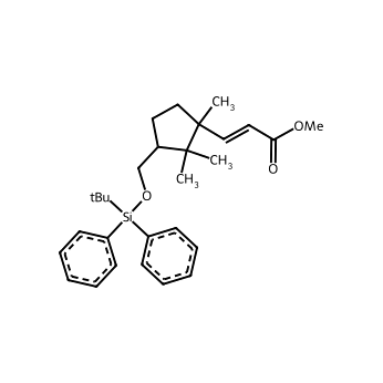 COC(=O)C=CC1(C)CCC(CO[Si](c2ccccc2)(c2ccccc2)C(C)(C)C)C1(C)C